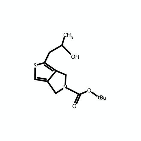 CC(O)Cc1scc2c1CN(C(=O)OC(C)(C)C)C2